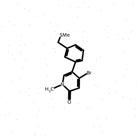 CSCc1cccc(-c2cn(C)c(=O)cc2Br)c1